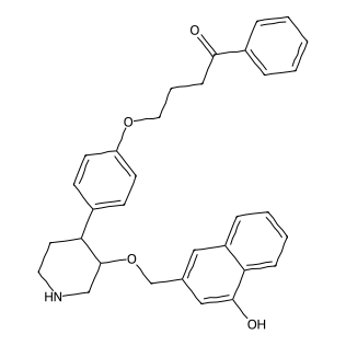 O=C(CCCOc1ccc(C2CCNCC2OCc2cc(O)c3ccccc3c2)cc1)c1ccccc1